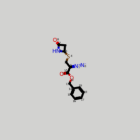 [N-]=[N+]=C(CSC1CC(=O)N1)C(=O)OCc1ccccc1